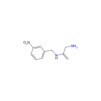 C=C(CN)NCc1cccc([N+](=O)[O-])c1